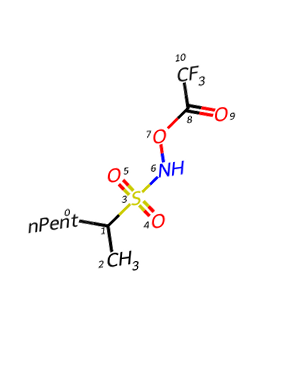 CCCCCC(C)S(=O)(=O)NOC(=O)C(F)(F)F